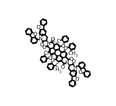 Cc1ccccc1Oc1cc2c3c(cc(Oc4ccccc4C)c4c5c(Oc6ccccc6C)cc6c7c(cc(Oc8ccccc8C)c(c1c34)c75)C(=O)N(C(Cc1ccc3oc4ccccc4c3c1)C(=O)Nc1cccc3c1oc1ccccc13)C6=O)C(=O)N(C(Cc1ccc3oc4ccccc4c3c1)C(=O)Nc1cccc3c1oc1ccccc13)C2=O